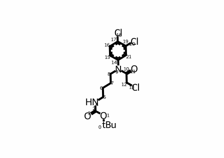 CC(C)(C)OC(=O)NCCCCN(C(=O)CCl)c1ccc(Cl)c(Cl)c1